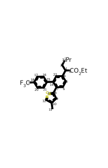 CCOC(=O)C(CC(C)C)c1ccc(-c2cc(C)cs2)c(-c2ccc(C(F)(F)F)cc2)c1